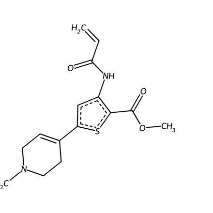 C=CC(=O)Nc1cc(C2=CCN(C)CC2)sc1C(=O)OC